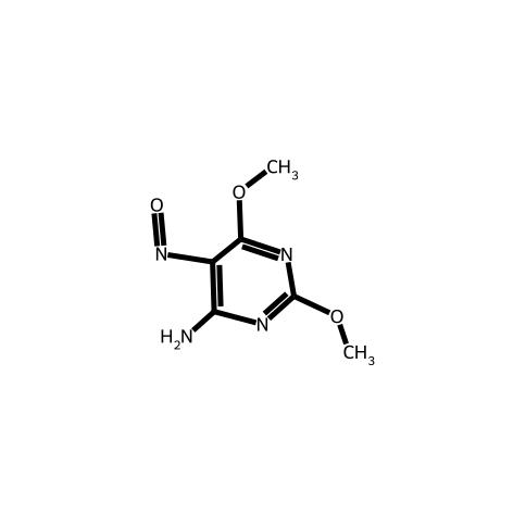 COc1nc(N)c(N=O)c(OC)n1